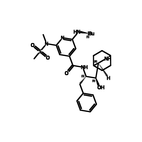 CC[C@H](C)Nc1cc(C(=O)N[C@@H](Cc2ccccc2)[C@H](O)[C@@H]2NC3CCC2CC3)cc(N(C)S(C)(=O)=O)n1